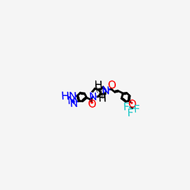 O=C(C=Cc1ccc(OC(F)(F)F)cc1)N1C[C@H]2CCN(C(=O)c3ccc4[nH]nnc4c3)C[C@@H]2C1